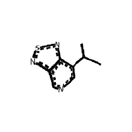 CC(C)c1cncc2nsnc12